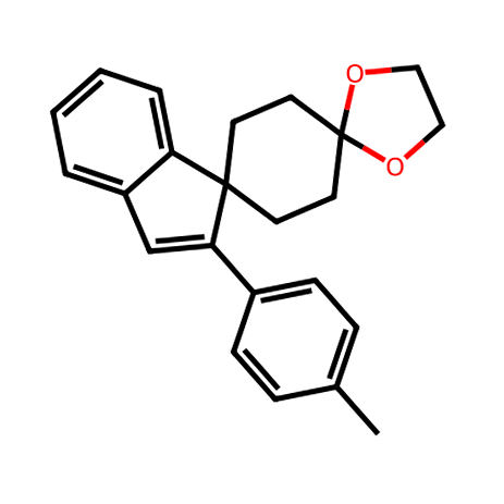 Cc1ccc(C2=Cc3ccccc3C23CCC2(CC3)OCCO2)cc1